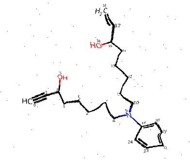 C#CC(O)CCCCCN(CCCCCC(O)C=C)c1ccccc1